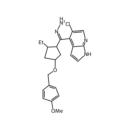 CCC1CC(OCc2ccc(OC)cc2)CC1/C(=N/N)c1c(Cl)cnc2[nH]ccc12